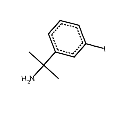 CC(C)(N)c1cccc(I)c1